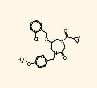 COc1ccc(CN2CC(OCc3ccccc3Cl)CN(C(=O)C3CC3)CC2=O)cc1